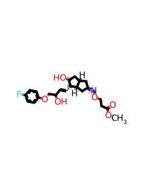 COC(=O)CCO/N=C1/C[C@H]2C[C@H](O)[C@@H](C=CC(O)COc3ccc(F)cc3)[C@@H]2C1